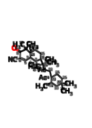 CC(=O)C[C@@H]1[C@@]2(C)C=C(C#N)C(=O)C(C)(C)[C@@H]2CC[C@@]1(C)C(C)(C)CC[C@@]1(C(C)=O)CCC(C)(C)CC1C